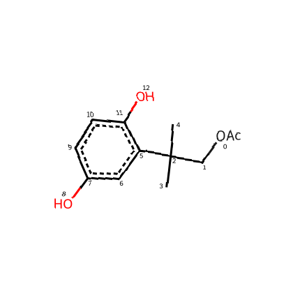 CC(=O)OCC(C)(C)c1cc(O)ccc1O